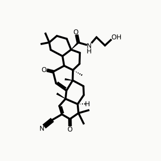 CC1(C)CC[C@]2(C(=O)NCCO)CC[C@]3(C)C(C(=O)C=C4[C@@]5(C)C=C(C#N)C(=O)C(C)(C)[C@@H]5CC[C@]43C)C2C1